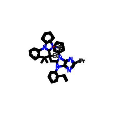 C=Cc1ccccc1N1c2ncc(C(C)C)nc2N(c2ccccc2)C1CC1(CC)C2N(c3ccccc3N2C(C)C)c2ccccc2C1(C)C